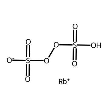 O=S(=O)([O-])OOS(=O)(=O)O.[Rb+]